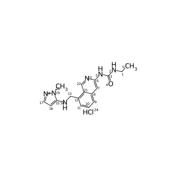 CCNC(=O)Nc1cc2cccc(CNc3ccnn3C)c2cn1.Cl